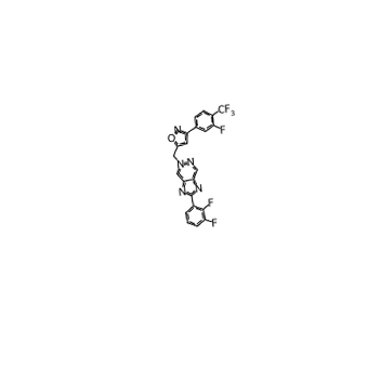 Fc1cc(-c2cc(Cn3cc4nc(-c5cccc(F)c5F)nc-4cn3)on2)ccc1C(F)(F)F